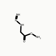 N=NNCC(=O)ON